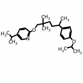 CC(C)Oc1ccc(C(C)CCC(C)(C)COc2ccc(C(C)C)cn2)cc1